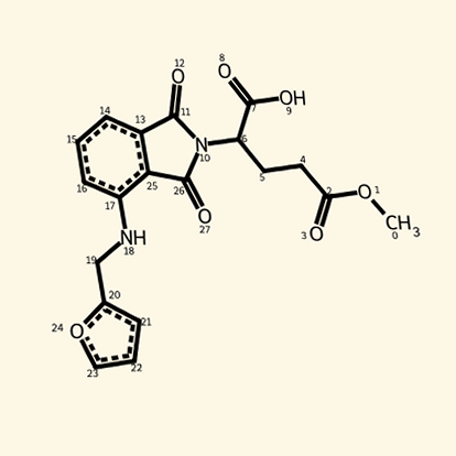 COC(=O)CCC(C(=O)O)N1C(=O)c2cccc(NCc3ccco3)c2C1=O